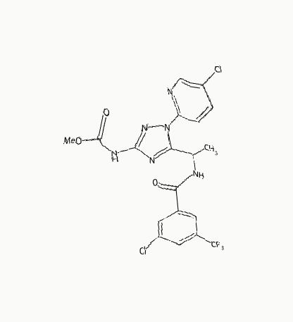 COC(=O)Nc1nc(C(C)NC(=O)c2cc(Cl)cc(C(F)(F)F)c2)n(-c2ccc(Cl)cn2)n1